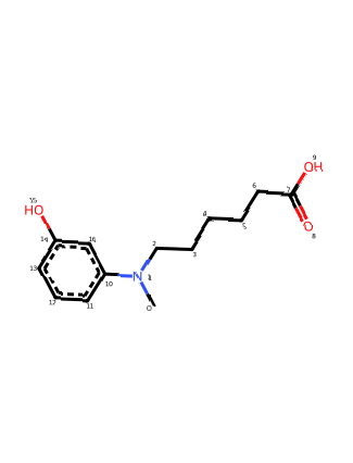 CN(CCCCCC(=O)O)c1cccc(O)c1